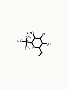 CC(=O)NC1C(O)C(O)C(CO)OC1C(C)(C)N